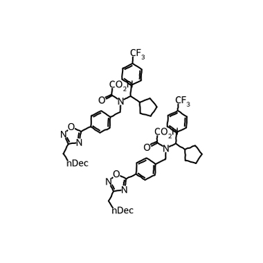 CCCCCCCCCCCc1noc(-c2ccc(CN(C(=O)C(=O)O)C(c3ccc(C(F)(F)F)cc3)C3CCCC3)cc2)n1.CCCCCCCCCCCc1noc(-c2ccc(CN(C(=O)C(=O)O)C(c3ccc(C(F)(F)F)cc3)C3CCCC3)cc2)n1